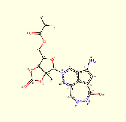 CC(C)C(=O)OCC1OC(n2cc3c(N)cc4c(=O)[nH]ncc(n2)c34)C2(C)OC(=O)OC12